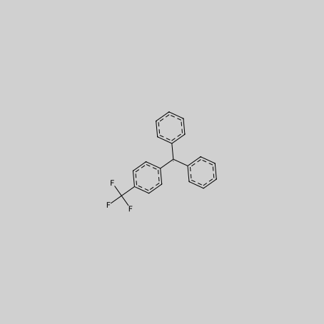 FC(F)(F)c1ccc([C](c2ccccc2)c2ccccc2)cc1